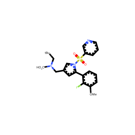 COc1cccc(-c2cc(CN(CC(C)(C)C)C(=O)O)cn2S(=O)(=O)c2cccnc2)c1F